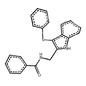 O=C(NCc1[nH]c2ccccc2c1Sc1ccccc1)c1ccccc1